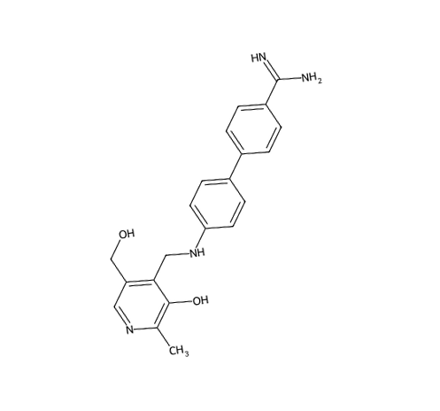 Cc1ncc(CO)c(CNc2ccc(-c3ccc(C(=N)N)cc3)cc2)c1O